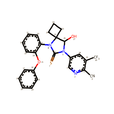 N#Cc1ncc(N2C(=S)N(c3ccccc3Oc3ccccc3)C3(CCC3)C2O)cc1C(F)(F)F